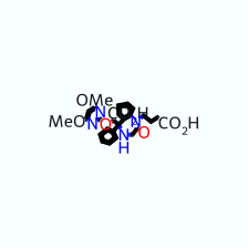 COc1cc(OC)nc(OC(C(=O)O)C2(c3ccccc3)NCC(=O)N(CCCC(=O)O)c3ccccc32)n1